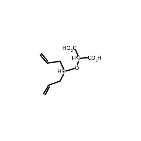 C=CC[SiH](CC=C)O[SiH](C(=O)O)C(=O)O